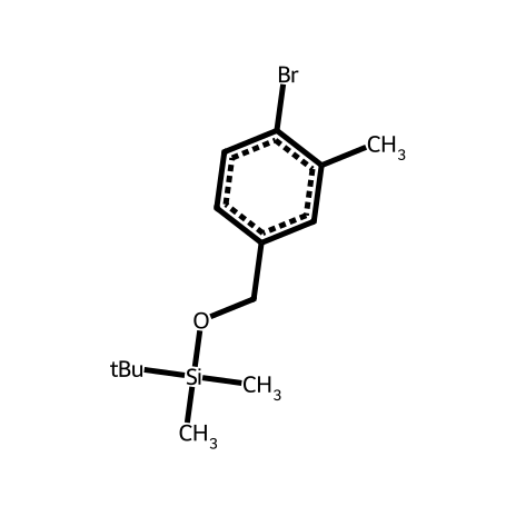 Cc1cc(CO[Si](C)(C)C(C)(C)C)ccc1Br